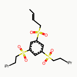 C/C=C/CS(=O)(=O)c1cc(S(=O)(=O)CCC(C)C)cc(S(=O)(=O)CCC(C)C)c1